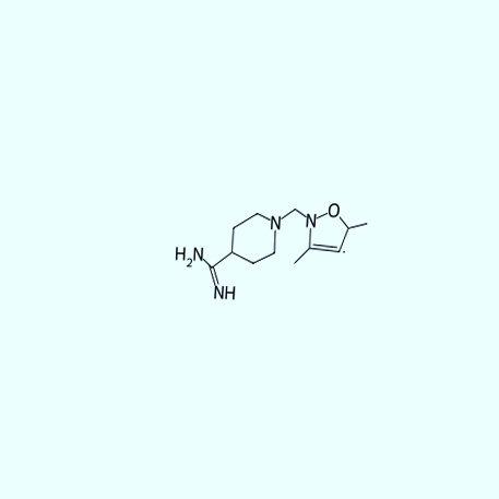 CC1=[C]C(C)ON1CN1CCC(C(=N)N)CC1